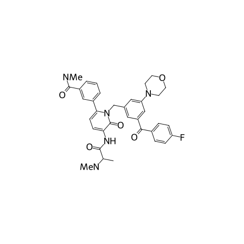 CNC(=O)c1cccc(-c2ccc(NC(=O)C(C)NC)c(=O)n2Cc2cc(C(=O)c3ccc(F)cc3)cc(N3CCOCC3)c2)c1